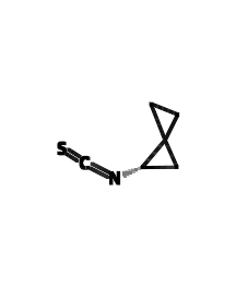 S=C=N[C@H]1CC12CC2